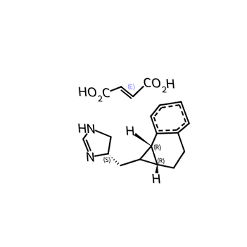 C1=N[C@@H](CC2[C@H]3CCc4ccccc4[C@@H]23)CN1.O=C(O)/C=C/C(=O)O